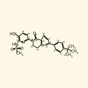 CC(C)(C)c1ccc(-c2ccc3c(c2)CCN(c2ccc(O)c(NS(C)(=O)=O)n2)C3=O)cc1